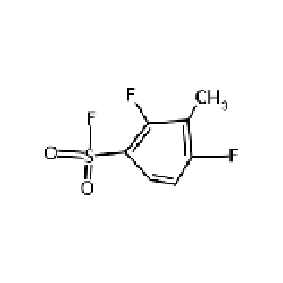 Cc1c(F)ccc(S(=O)(=O)F)c1F